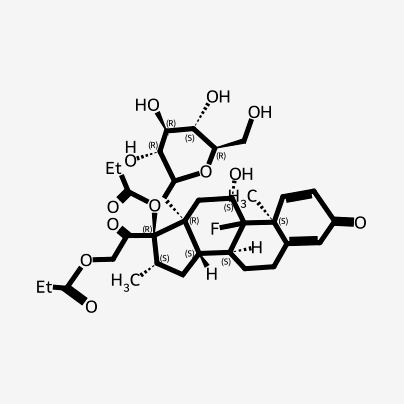 CCC(=O)OCC(=O)[C@@]1(OC(=O)CC)[C@@H](C)C[C@H]2[C@@H]3CCC4=CC(=O)C=C[C@]4(C)C3(F)[C@@H](O)C[C@@]21CC1O[C@H](CO)[C@@H](O)[C@H](O)[C@H]1O